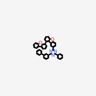 c1ccc(-c2cccc(-c3nc(-c4ccccc4)nc(-c4ccc5oc6cccc(-c7cccc8c7oc7ccccc78)c6c5c4)n3)c2)cc1